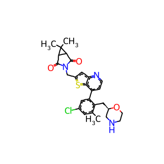 Cc1cc(Cl)cc(-c2ccnc3cc(CN4C(=O)C5C(C4=O)C5(C)C)sc23)c1C[C@@H]1CNCCO1